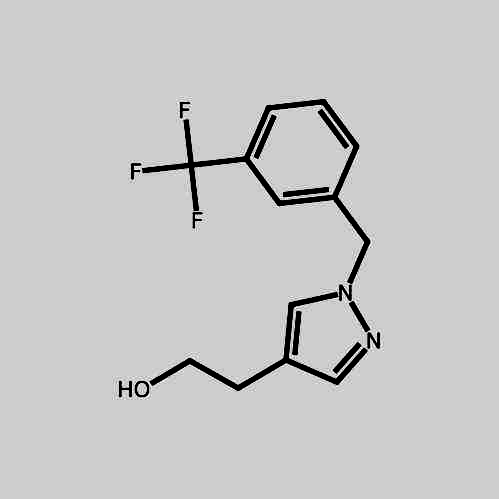 OCCc1cnn(Cc2cccc(C(F)(F)F)c2)c1